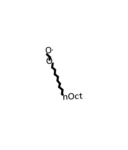 CCCCCCCCCCCCCCCCCCOCC[O]